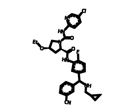 CCO[C@@H]1C[C@H](C(=O)Nc2cc(C(NCC3CC3)c3cccc(C#N)c3)ccc2F)N(C(=O)Nc2ccc(Cl)cn2)C1